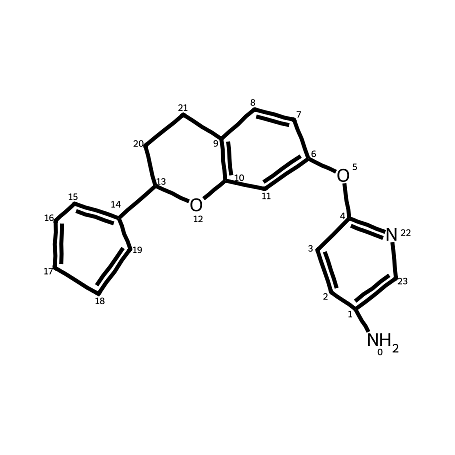 Nc1ccc(Oc2ccc3c(c2)OC(c2ccccc2)CC3)nc1